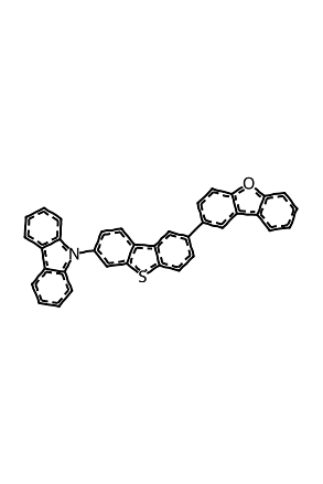 c1ccc2c(c1)oc1ccc(-c3ccc4sc5cc(-n6c7ccccc7c7ccccc76)ccc5c4c3)cc12